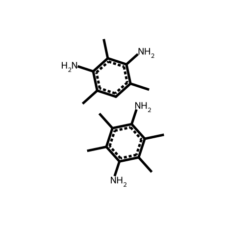 Cc1c(C)c(N)c(C)c(C)c1N.Cc1cc(C)c(N)c(C)c1N